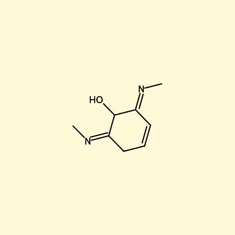 CN=C1C=CCC(=NC)C1O